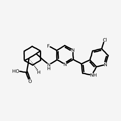 O=C(O)[C@H]1C2CCC(CC2)C1Nc1nc(-c2c[nH]c3ncc(Cl)cc23)ncc1F